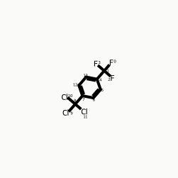 FC(F)(F)c1ccc(C(Cl)(Cl)Cl)cc1